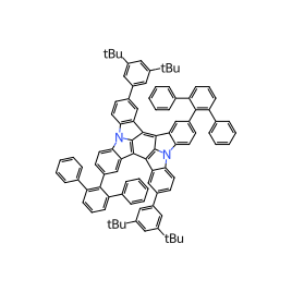 CC(C)(C)c1cc(-c2ccc3c(c2)c2c4c5cc(-c6c(-c7ccccc7)cccc6-c6ccccc6)ccc5n5c6ccc(-c7cc(C(C)(C)C)cc(C(C)(C)C)c7)cc6c(c6c7cc(-c8c(-c9ccccc9)cccc8-c8ccccc8)ccc7n3c26)c45)cc(C(C)(C)C)c1